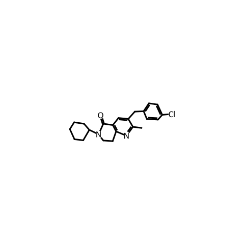 Cc1nc2c(cc1Cc1ccc(Cl)cc1)C(=O)N(C1CCCCC1)CC2